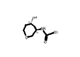 O=C(O)N[C@H]1COCC[C@@H]1O